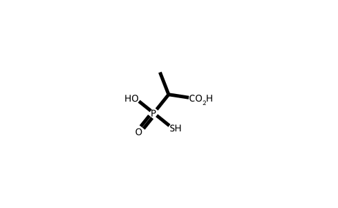 CC(C(=O)O)P(=O)(O)S